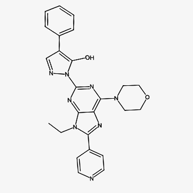 CCn1c(-c2ccncc2)nc2c(N3CCOCC3)nc(-n3ncc(-c4ccccc4)c3O)nc21